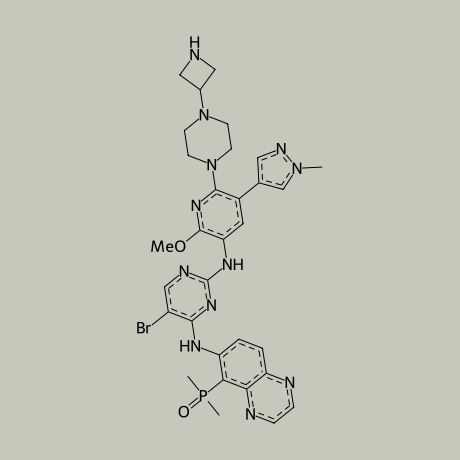 COc1nc(N2CCN(C3CNC3)CC2)c(-c2cnn(C)c2)cc1Nc1ncc(Br)c(Nc2ccc3nccnc3c2P(C)(C)=O)n1